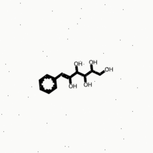 OCC(O)C(O)C(O)C(O)=Cc1ccccc1